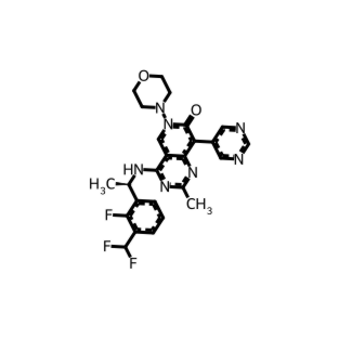 Cc1nc(N[C@H](C)c2cccc(C(F)F)c2F)c2cn(N3CCOCC3)c(=O)c(-c3cncnc3)c2n1